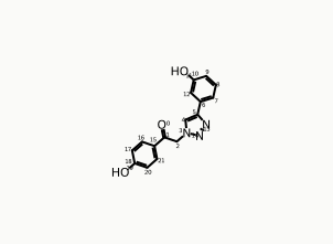 O=C(Cn1cc(-c2cccc(O)c2)nn1)c1ccc(O)cc1